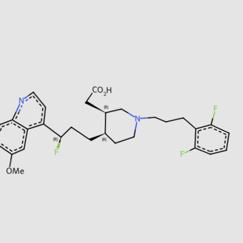 COc1ccc2nccc([C@H](F)CC[C@@H]3CCN(CCCc4c(F)cccc4F)C[C@@H]3CC(=O)O)c2c1